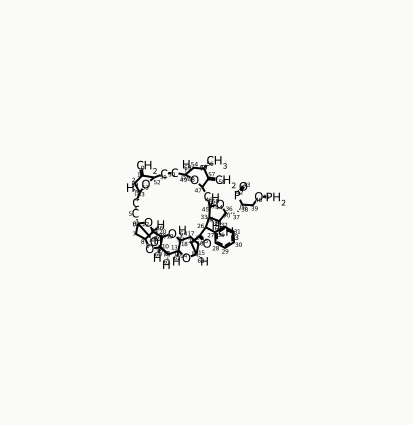 C=C1C[C@@H]2CC[C@@]34CC5O[C@H]6[C@@H](O3)[C@H]3O[C@H](CC[C@@H]3O[C@H]6[C@H]5O4)CC(=O)C(c3ccccc3)[C@@H]3[C@@H](C)[C@@H](C[C@@H](COP)P=O)O[C@H]3CC3O[C@@H](CCC1O2)C[C@@H](C)C3=C